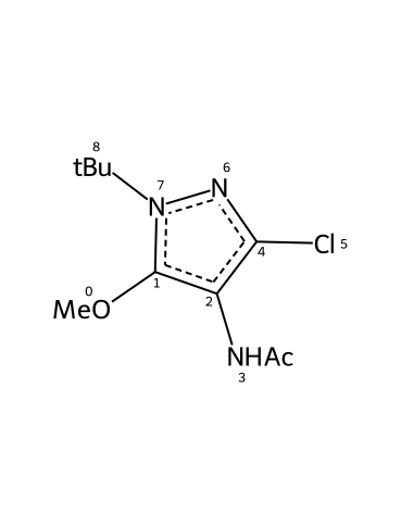 COc1c(NC(C)=O)c(Cl)nn1C(C)(C)C